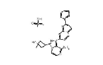 CC1(O)CC(c2nc(-c3ccc4ccc(-c5ccccc5)nc4c3)c3c(N)nccn23)C1.CS(=O)(=O)O